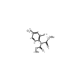 CC(C)(C)OC(=O)N(C(=O)OC(C)(C)C)c1ncc([N+](=O)[O-])cc1F